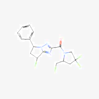 O=C(c1nc2n(n1)C(c1ccccc1)CC2F)N1CC(F)(F)CC1CF